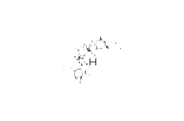 N#Cc1cc(Nc2nccc3nc(-c4c(Cl)cncc4Cl)[nH]c23)ncn1